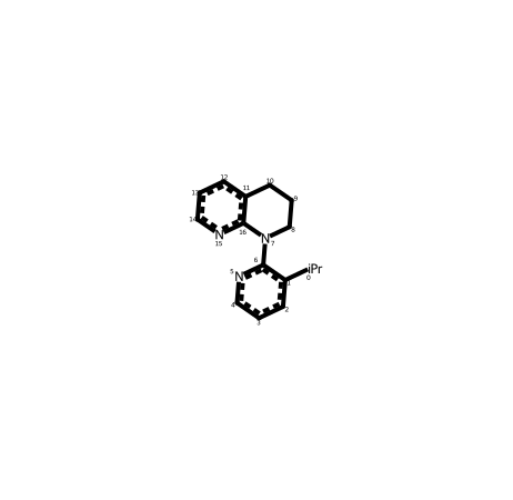 CC(C)c1cccnc1N1CCCc2cccnc21